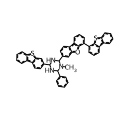 CN1C(c2ccccc2)NC(c2ccc3c(c2)sc2ccccc23)NC1c1ccc2c(c1)oc1c(-c3cccc4c3sc3ccccc34)cccc12